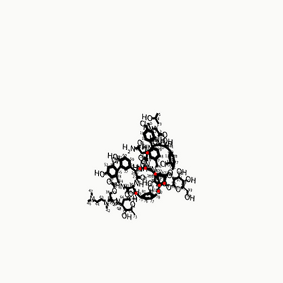 CN[C@H](CC(C)O)C(=O)N[C@H]1C(=O)N[C@@H](CC(N)=O)C(=O)N[C@H]2C(=O)N[C@H]3C(=O)N[C@H](C(=O)N[C@H](C(=O)OCC(=O)N(C)CCN(C)C)c4cc(O)cc(O)c4-c4cc3ccc4O)[C@H](O[C@H]3C[C@](C)(N)[C@@H](O)[C@H](C)O3)c3ccc(c(Cl)c3)Oc3cc2cc(c3O[C@@H]2O[C@H](CO)[C@@H](O)[C@H](O)[C@H]2O[C@H]2C[C@](C)(NCc3ccc(-c4ccc(Cl)cc4)cc3)[C@@H](O)[C@H](C)O2)Oc2ccc(cc2Cl)[C@H]1O